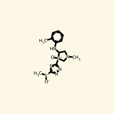 Cc1ccccc1NC1CN(C)C[N+]1([O-])c1nnc([S+](C)[O-])s1